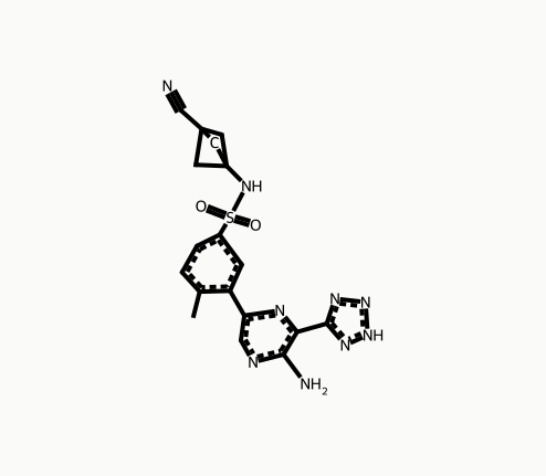 Cc1ccc(S(=O)(=O)NC23CC(C#N)(C2)C3)cc1-c1cnc(N)c(-c2nn[nH]n2)n1